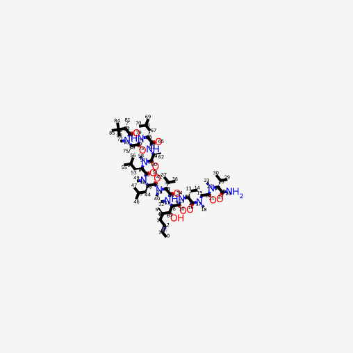 C/C=C/C[C@@H](C)[C@H](O)C(C(=O)N[C@H](CC)C(=O)N(C)CC(=O)N(C)[C@@H](C(N)=O)C(C)C)N(C)C(=O)[C@@H](C(C)C)N(C)C(=O)[C@@H](CC(C)C)N(C)C(=O)[C@@H](CC(C)C)N(C)C(=O)[C@H](C)NC(=O)[C@@H](CC(C)C)NC(=O)[C@H](C)N(C)C(=O)[C@@H](C)C(C)(C)C